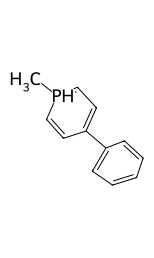 C[PH]1=CC=C(c2ccccc2)C=C1